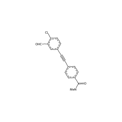 CNC(=O)c1ccc(C#Cc2ccc(Cl)c(C=O)c2)cc1